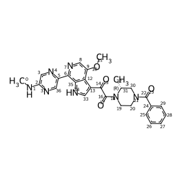 CNc1cnc(-c2ncc(OC)c3c(C(=O)C(=O)N4CCN(C(=O)c5ccccc5)C[C@H]4C)c[nH]c23)cn1